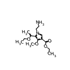 C=C(OCC)c1c(OC)c(C(=O)OCC)cn1CCN